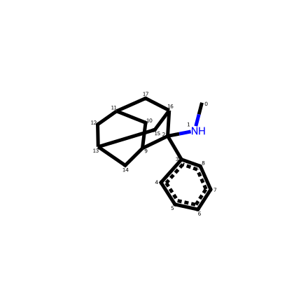 CNC1(c2ccccc2)C2CC3CC(C2)CC1C3